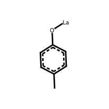 Cc1ccc([O][La])cc1